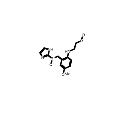 CCOCCNc1ccc(OC)cc1C[S+]([O-])c1ncc[nH]1